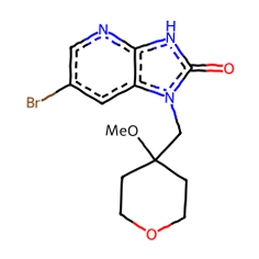 COC1(Cn2c(=O)[nH]c3ncc(Br)cc32)CCOCC1